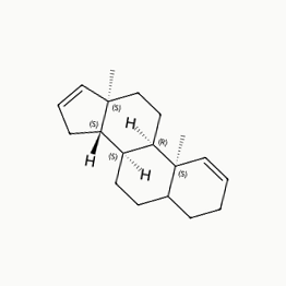 C[C@@]12C=CC[C@H]1[C@@H]1CCC3CCC=C[C@]3(C)[C@@H]1CC2